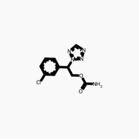 NC(=O)OCC(c1cccc(Cl)c1)n1ncnn1